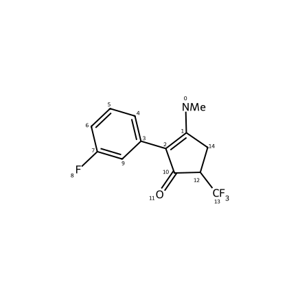 CNC1=C(c2cccc(F)c2)C(=O)C(C(F)(F)F)C1